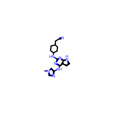 Cn1cnc(Nc2nc(NC3CCC(CC#N)CC3)nc3[nH]ccc23)c1